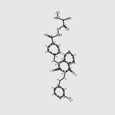 CC(C)C(NCl)C(=O)ONC(=O)c1ccc(Cn2c(=O)n(CCc3cccc(C(F)(F)F)c3)c(=O)c3ccccc32)cc1